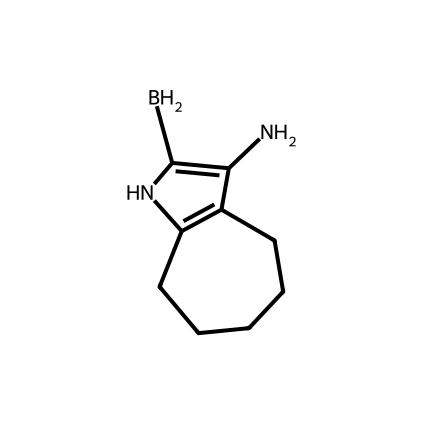 Bc1[nH]c2c(c1N)CCCCC2